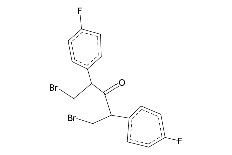 O=C(C(CBr)c1ccc(F)cc1)C(CBr)c1ccc(F)cc1